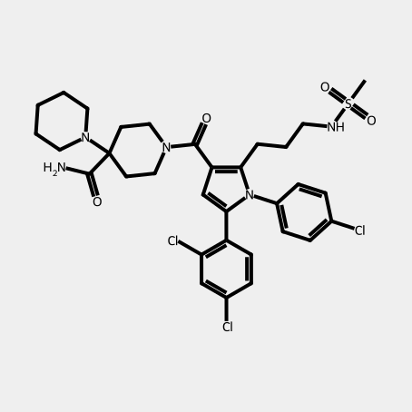 CS(=O)(=O)NCCCc1c(C(=O)N2CCC(C(N)=O)(N3CCCCC3)CC2)cc(-c2ccc(Cl)cc2Cl)n1-c1ccc(Cl)cc1